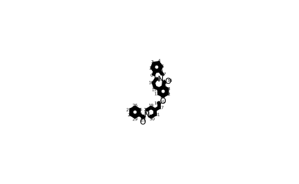 Cc1ccccc1CN1CCCc2cc(OCCC3CCN(C(=O)c4ccccc4)CC3)ccc2C1=O